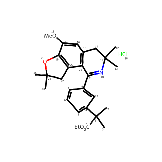 CCOC(=O)C(C)(C)c1cccc(C2=NC(C)(C)Cc3cc(OC)c4c(c32)CC(C)(C)O4)c1.Cl